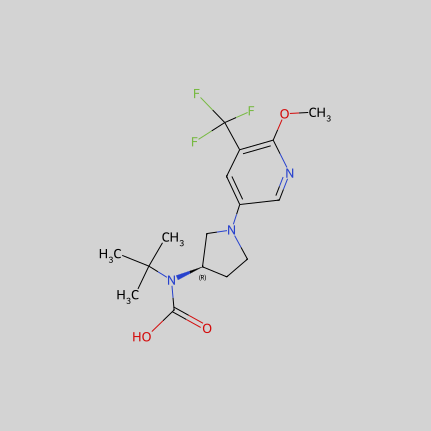 COc1ncc(N2CC[C@@H](N(C(=O)O)C(C)(C)C)C2)cc1C(F)(F)F